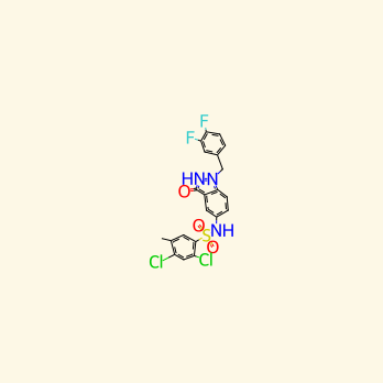 Cc1cc(S(=O)(=O)Nc2ccc3c(c2)c(=O)[nH]n3Cc2ccc(F)c(F)c2)c(Cl)cc1Cl